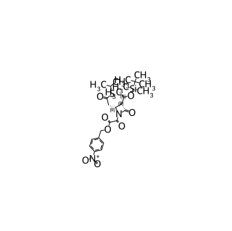 CC(C)SC(=O)C[C@@H]1[C@H]([C@@H](C)O[Si](C)(C)C(C)(C)C)C(=O)N1C(=O)C(=O)OCc1ccc([N+](=O)[O-])cc1